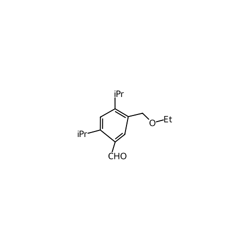 CCOCc1cc(C=O)c(C(C)C)cc1C(C)C